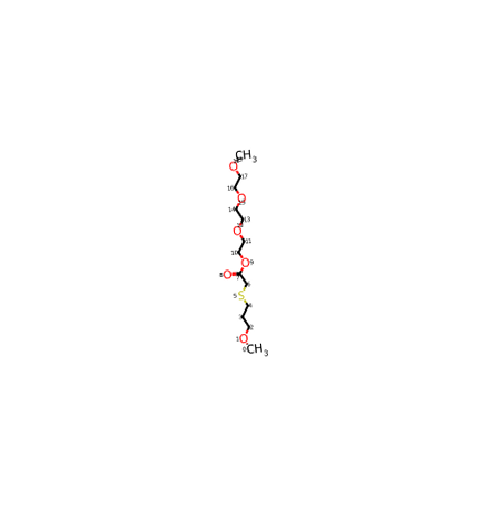 COCCCSCC(=O)OCCOCCOCCOC